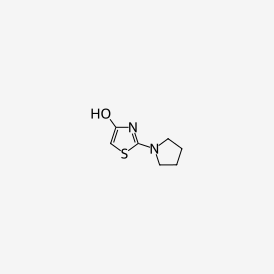 Oc1csc(N2CCCC2)n1